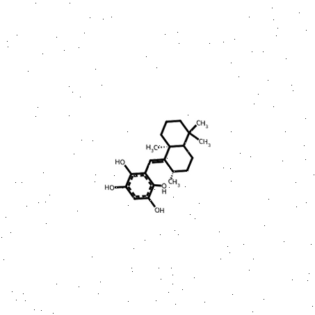 C[C@H]1CCC2C(C)(C)CCC[C@]2(C)/C1=C/c1c(O)c(O)cc(O)c1O